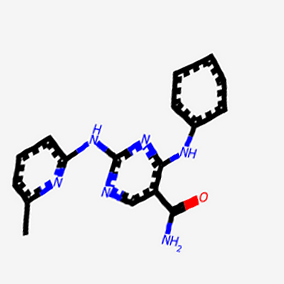 Cc1cccc(Nc2ncc(C(N)=O)c(Nc3ccccc3)n2)n1